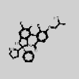 CNC(=O)c1ccc(OCC(C)O)c(F)c1-c1c(Cl)c(F)cc2c1C[C@](c1ccccc1)(C1CCCN1)N2